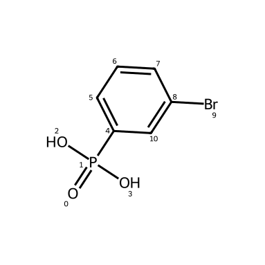 O=P(O)(O)c1cccc(Br)c1